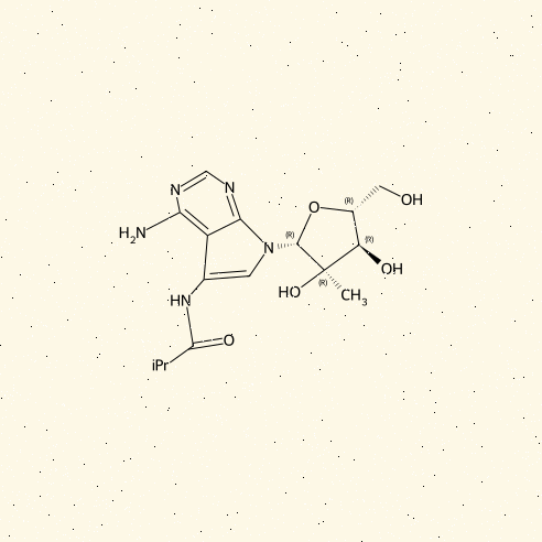 CC(C)C(=O)Nc1cn([C@@H]2O[C@H](CO)[C@@H](O)[C@@]2(C)O)c2ncnc(N)c12